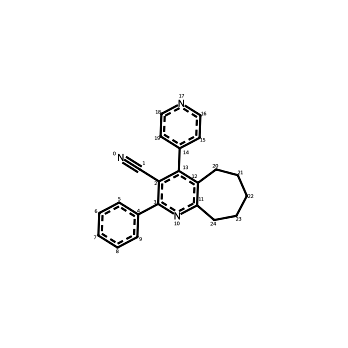 N#Cc1c(-c2ccccc2)nc2c(c1-c1ccncc1)CCCCC2